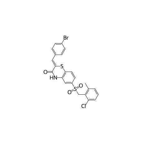 Cc1cccc(Cl)c1CS(=O)(=O)c1ccc2c(c1)NC(=O)/C(=C/c1ccc(Br)cc1)S2